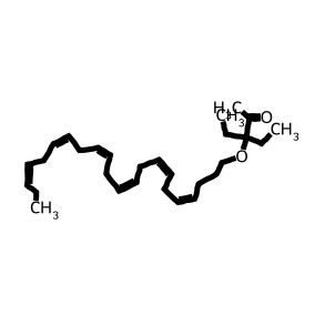 CC/C=C\C/C=C\C/C=C\C/C=C\C/C=C\C/C=C\CCCOC(CC)(CC)C(C)=O